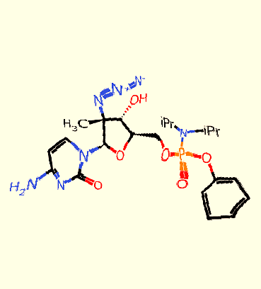 CC(C)N(C(C)C)P(=O)(OC[C@H]1O[C@@H](n2ccc(N)nc2=O)[C@](C)(N=[N+]=[N-])[C@@H]1O)Oc1ccccc1